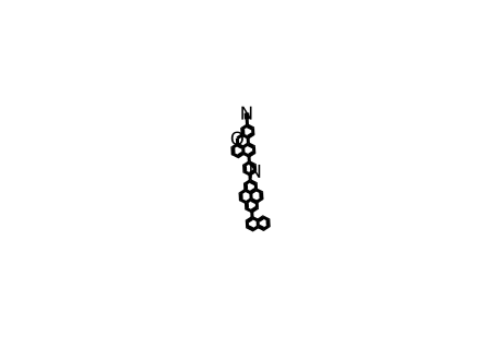 N#Cc1ccc2c(c1)Oc1cccc3c(-c4ccc(-c5cc6ccc7cc(-c8cccc9ccccc89)cc8ccc(c5)c6c78)nc4)ccc-2c13